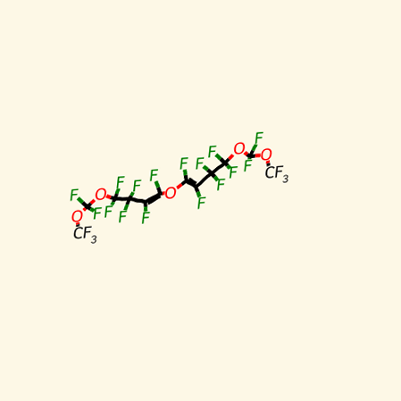 FC(OC(F)=C(F)C(F)(F)C(F)(F)OC(F)(F)OC(F)(F)F)=C(F)C(F)(F)C(F)(F)OC(F)(F)OC(F)(F)F